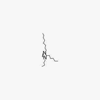 CCCCCCCCN1C=CN(CCCC)C1CCCCC